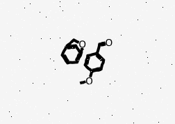 COc1ccc(C=O)cc1.c1cc2cc(c1)OC2